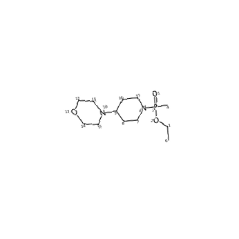 CCOP(C)(=O)N1CCC(N2CCOCC2)CC1